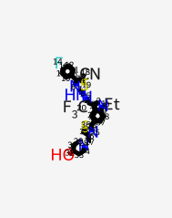 CCn1cc(/C(=N/Nc2nc(-c3ccc(F)cc3)c(C#N)s2)C(F)(F)F)c2cc(-c3nc(CN4CCC(O)CC4)cs3)ccc21